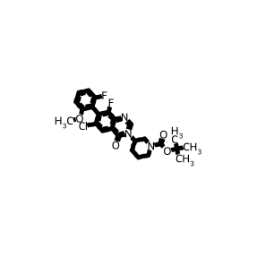 COc1cccc(F)c1-c1c(Cl)cc2c(=O)n(C3CCCN(C(=O)OC(C)(C)C)C3)cnc2c1F